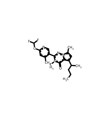 CCCC(C)c1cc(C)n2nc(-c3cnc(OC(F)F)cc3C)n(C)c(=O)c12